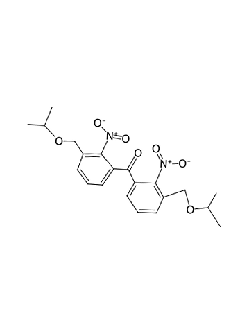 CC(C)OCc1cccc(C(=O)c2cccc(COC(C)C)c2[N+](=O)[O-])c1[N+](=O)[O-]